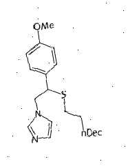 CCCCCCCCCCCCSC(Cn1ccnc1)c1ccc(OC)cc1